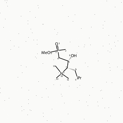 COP(C)(=O)C[C@H](O)[C@H](CC(C)C)[N+](C)(C)C